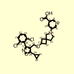 O=C(O)c1cncc(N2CCC3(CC(OCc4c(-c5c(Cl)cccc5Cl)noc4C4CC4)C3)C2)c1